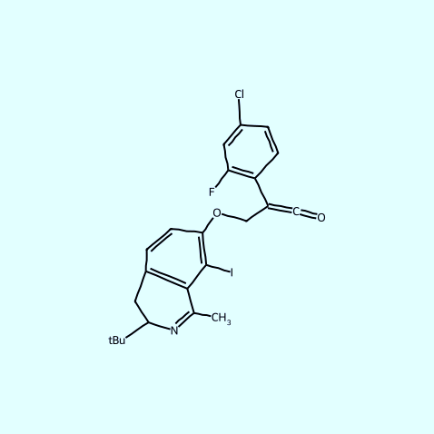 CC1=NC(C(C)(C)C)Cc2ccc(OCC(=C=O)c3ccc(Cl)cc3F)c(I)c21